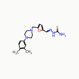 Cc1ccc(N2CCN(Cc3ccc(/C=N/NC(N)=S)o3)CC2)cc1C